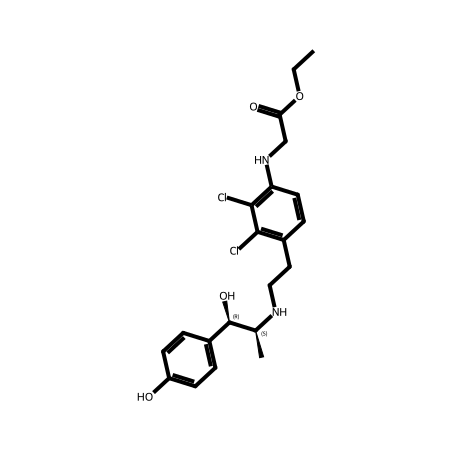 CCOC(=O)CNc1ccc(CCN[C@@H](C)[C@H](O)c2ccc(O)cc2)c(Cl)c1Cl